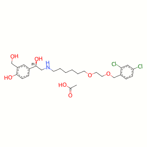 CC(=O)O.OCc1cc([C@@H](O)CNCCCCCCOCCOCc2ccc(Cl)cc2Cl)ccc1O